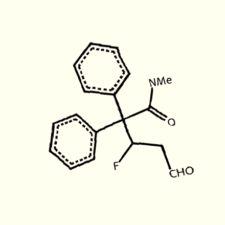 CNC(=O)C(c1ccccc1)(c1ccccc1)C(F)CC=O